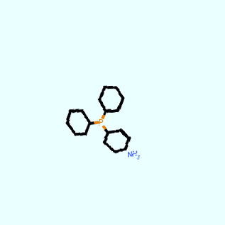 C1CCC(P(C2CCCCC2)C2CCCCC2)CC1.N